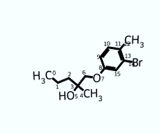 CCCC(C)(O)COc1ccc(C)c(Br)c1